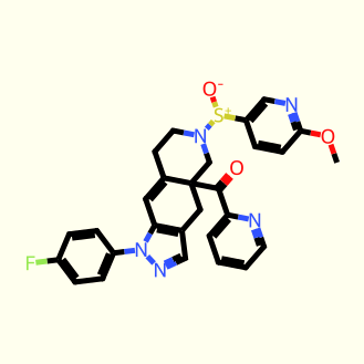 COc1ccc([S+]([O-])N2CCC3=Cc4c(cnn4-c4ccc(F)cc4)CC3(C(=O)c3ccccn3)C2)cn1